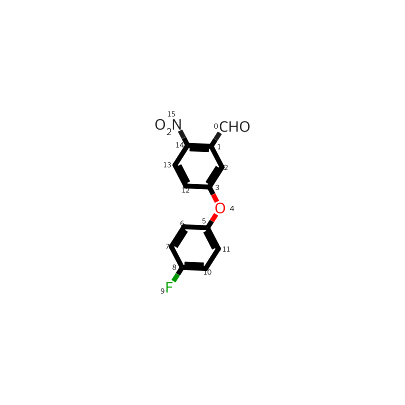 O=Cc1cc(Oc2ccc(F)cc2)ccc1[N+](=O)[O-]